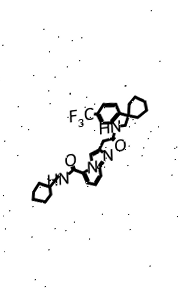 O=C(Cc1cn2c(C(=O)NCC3CCCCC3)cccc2n1)NCC1(c2ccc(C(F)(F)F)cc2)CCCCC1